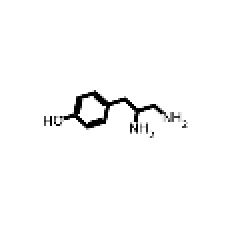 NCC(N)Cc1ccc(O)cc1